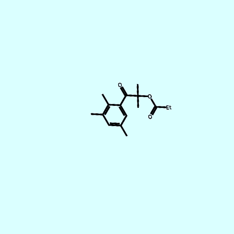 CCC(=O)OC(C)(C)C(=O)c1cc(C)cc(C)c1C